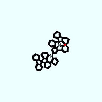 c1ccc(N(c2ccc3c(c2)c2ccccc2n3C2(c3ccccc3)c3ccccc3-c3ccccc32)c2cccc3c2-c2ccccc2C32c3ccccc3-c3ccccc32)cc1